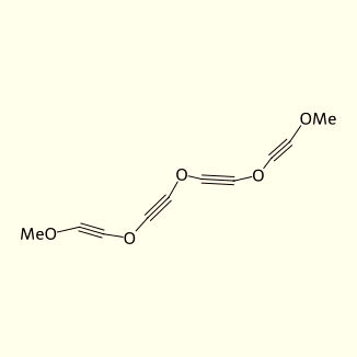 COC#COC#COC#COC#COC